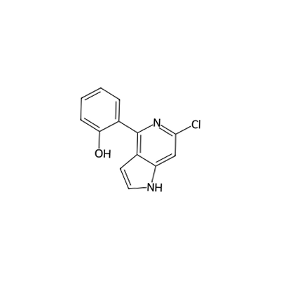 Oc1ccccc1-c1nc(Cl)cc2[nH]ccc12